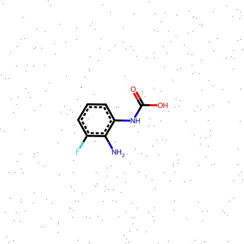 Nc1c(F)cccc1NC(=O)O